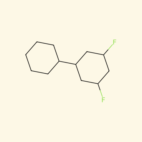 FC1CC(F)CC(C2CCCCC2)C1